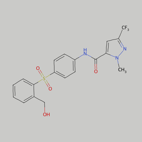 Cn1nc(C(F)(F)F)cc1C(=O)Nc1ccc(S(=O)(=O)c2ccccc2CO)cc1